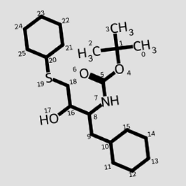 CC(C)(C)OC(=O)NC(CC1CCCCC1)C(O)CSC1CCCCC1